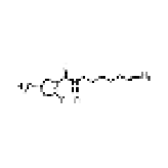 C=CCCCCCNC(=O)C1CC(C)CC1C=O